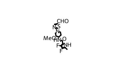 COC1CN(c2ncc(C=O)s2)CCC1NC(=O)c1[nH]c(C)c(F)c1F